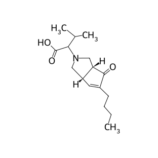 CCCCC1=C[C@@H]2CN(C(C(=O)O)C(C)C)C[C@@H]2C1=O